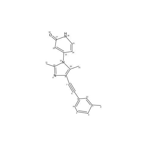 Cc1cccc(C#Cc2nc(C)n(-c3cc[nH]c(=O)c3)c2C)c1